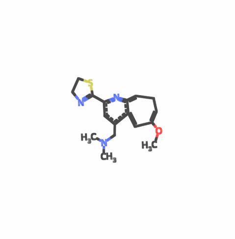 COC1=CCC=c2nc(C3=NCCS3)cc(CN(C)C)c2=C1